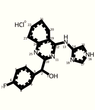 Cl.OC(c1ccc(F)cc1)c1nc(Nc2c[nH]cn2)c2ccccc2n1